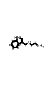 NCCSCc1c[nH]c2ccccc12